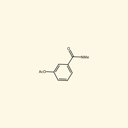 CNC(=O)c1cccc(OC(C)=O)c1